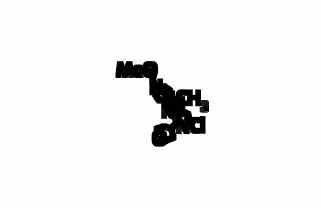 COCCN1CCN(c2nc3c(C4CCOCC4)nc(Cl)cc3n2C)CC1